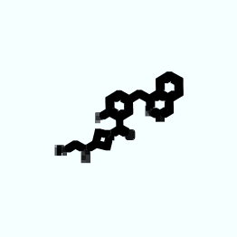 CC(C)CNC1CN(C(=O)c2cc(Cc3nncc4ccccc34)ccc2F)C1